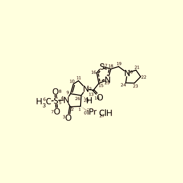 CC(C)[C@@H]1C(=O)N(S(C)(=O)=O)C2=CCN(C(=O)c3csc(CN4CCCC4)n3)[C@H]21.Cl